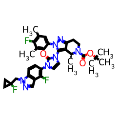 Cc1cc(-n2nc3c(c2-n2ccn(-c4ccc5c(cnn5CC5(F)CC5)c4F)c2=O)[C@H](C)N(C(=O)OC(C)(C)C)CC3)cc(C)c1F